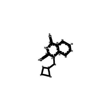 O=c1oc(=O)n(CC2CCC2)c2ccccc12